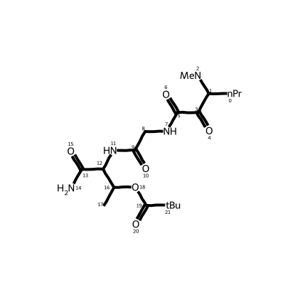 CCCC(NC)C(=O)C(=O)NCC(=O)NC(C(N)=O)C(C)OC(=O)C(C)(C)C